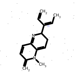 C=C/C(=C\C)C1CC=C2C(=N1)C=CC(=C)N2C